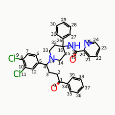 O=C(CCC(c1ccc(Cl)c(Cl)c1)N1CCC(NC(=O)c2ccccn2)(c2ccccc2)CC1)c1ccccc1